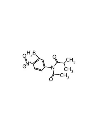 Bc1cc(N(C(C)=O)C(=O)C(C)C)ccc1[N+](=O)[O-]